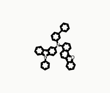 c1ccc(-c2cccc(N(c3ccc4c(c3)c3ccccc3n4-c3ccccc3)c3cccc4c3ccc3c5ccccc5oc43)c2)cc1